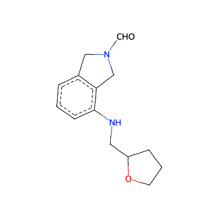 O=CN1Cc2cccc(NCC3CCCO3)c2C1